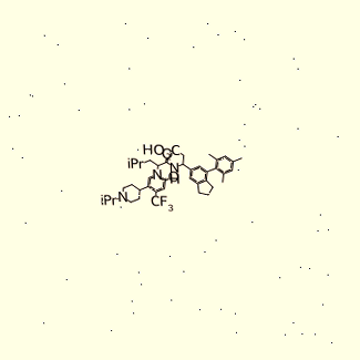 Cc1cc(C)c(-c2cc(C(CC(=O)O)NC(=O)C(CC(C)C)n3cc(C4CCN(C(C)C)CC4)c(C(F)(F)F)cc3=O)cc3c2CCC3)c(C)c1